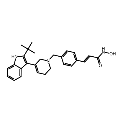 CC(C)(C)c1[nH]c2ccccc2c1C1=CCCN(Cc2ccc(/C=C/C(=O)NO)cc2)C1